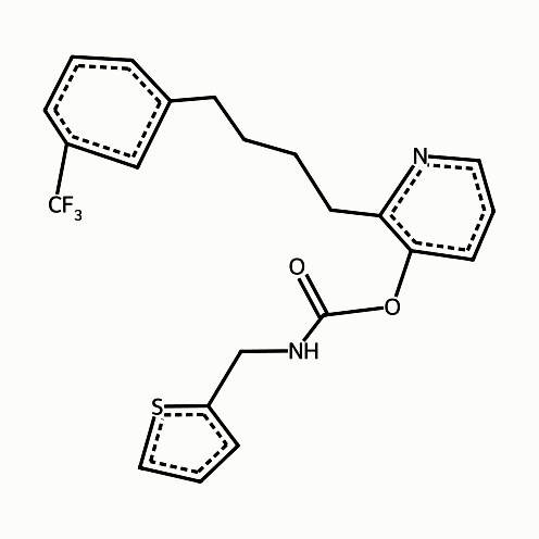 O=C(NCc1cccs1)Oc1cccnc1CCCCc1cccc(C(F)(F)F)c1